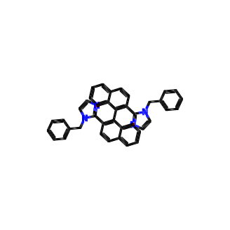 c1ccc(Cn2ccnc2-c2ccc3ccccc3c2-c2c(-c3nccn3Cc3ccccc3)ccc3ccccc23)cc1